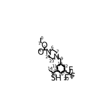 CCOC(=O)N1CCN(Cc2cc(C(C)S)cc(C(F)(F)F)c2)CC1